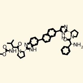 COC(=O)N[C@H](C(=O)N1CCC[C@H]1c1nc2ccc(-c3ccc4cc(-c5cnc([C@@H]6CCCN6C(=O)[C@H](N)c6ccccc6)[nH]5)ccc4c3)cc2[nH]1)C(C)C